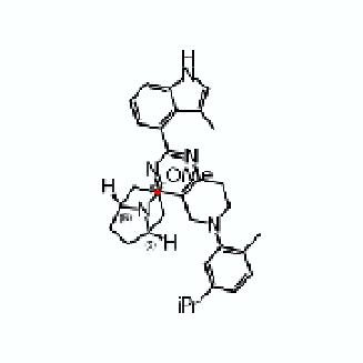 CO[C@H]1C[C@H]2CC[C@@H](C1)N2c1nc(-c2cccc3[nH]cc(C)c23)nc2c1CN(c1cc(C(C)C)ccc1C)CC2